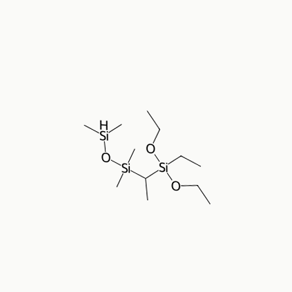 CCO[Si](CC)(OCC)C(C)[Si](C)(C)O[SiH](C)C